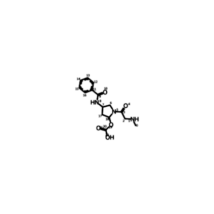 CNCC(=O)N1CC(NC(=O)c2ccccc2)CC1OC(=O)O